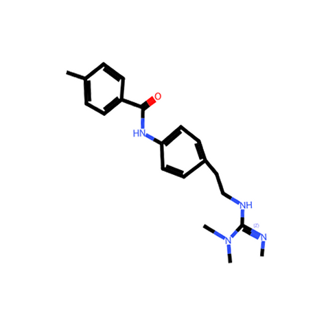 C/N=C(/NCCc1ccc(NC(=O)c2ccc(C)cc2)cc1)N(C)C